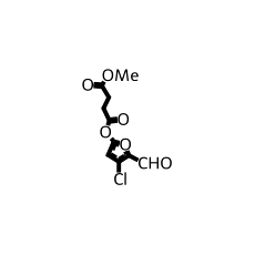 COC(=O)CCC(=O)Oc1cc(Cl)c(C=O)o1